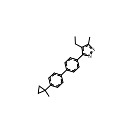 CCc1c(-c2ccc(-c3ccc(C4(C)CC4)cc3)cc2)nsc1C